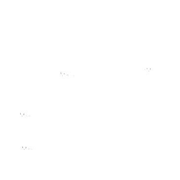 COc1ccc2[c]c(-c3ccc(OC)c4cccc(OC)c34)ccc2c1OC